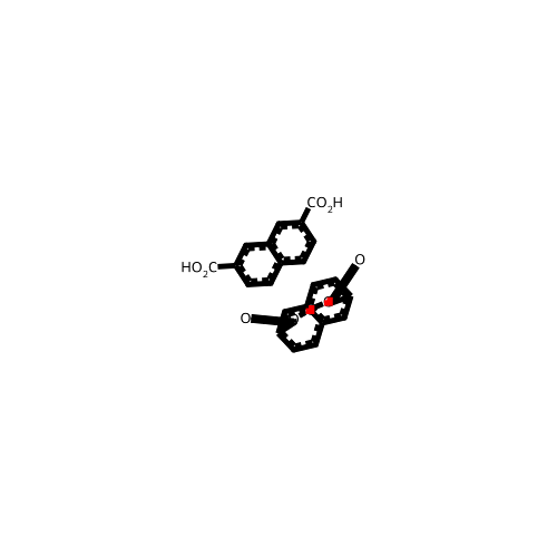 O=C(O)c1ccc2ccc(C(=O)O)cc2c1.O=C1OCCOC(=O)c2ccc3cc1ccc3c2